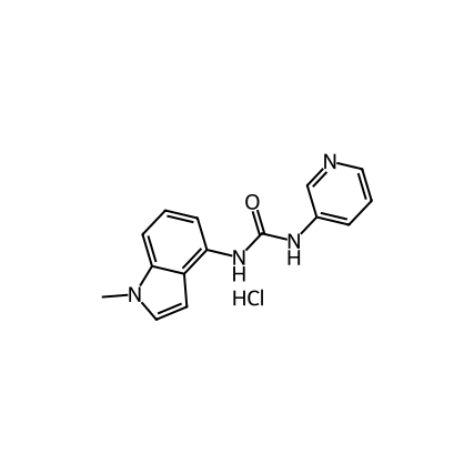 Cl.Cn1ccc2c(NC(=O)Nc3cccnc3)cccc21